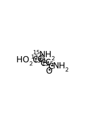 [15NH2][13C](=O)[13CH2][13CH2][13C@H]([15NH2])[13C](=O)O